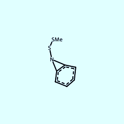 CSSN1c2ccccc21